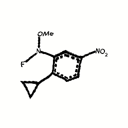 CON(F)c1cc([N+](=O)[O-])ccc1C1CC1